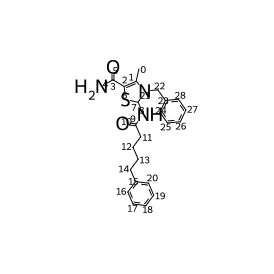 CC1=C(C(N)=O)SC(NC(=O)CCCCc2ccccc2)N1Cc1ccccc1